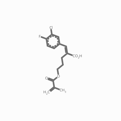 C=C(C)C(=O)OCCCC(=Cc1ccc(F)c(Cl)c1)C(=O)O